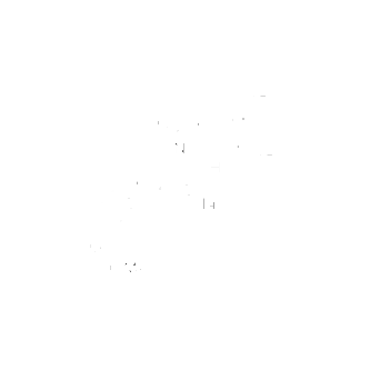 COC(=O)Cc1cccc(Oc2ccc(Br)cc2CN2C(=O)O[C@H](c3cc(C(F)(F)F)cc(C(F)(F)F)c3)[C@@H]2C)c1